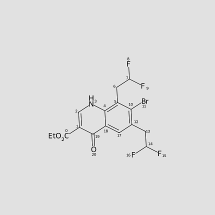 CCOC(=O)c1c[nH]c2c(CC(F)F)c(Br)c(CC(F)F)cc2c1=O